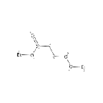 CCOOCCC(=O)OCC